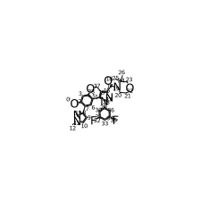 COc1cc2c(cc1-c1ccn(C)n1)-c1c(c(C(=O)N3CCOCC3(C)C)nn1-c1cc(F)cc(F)c1)CO2